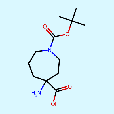 CC(C)(C)OC(=O)N1CCCC(N)(C(=O)O)CC1